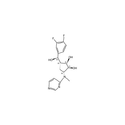 CN(c1ccncn1)[C@@H]1C[C@H]([C@@H](O)c2ccc(F)c(F)c2)[C@@H](O)[C@H]1O